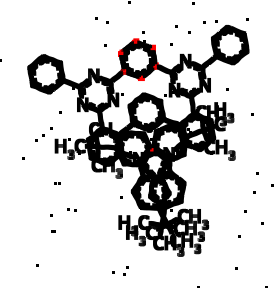 CC(C)(C)c1ccc2c(c1)c1cc(C(C)(C)C)ccc1n2-c1cccc(-c2nc(-c3ccccc3)nc(-c3ccccc3)n2)c1-c1cccc(-c2c(-c3nc(-c4ccccc4)nc(-c4ccccc4)n3)cccc2-n2c3ccc(C(C)(C)C)cc3c3cc(C(C)(C)C)ccc32)c1